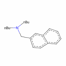 CCCCN(CCCC)Cc1ccc2ccccc2c1